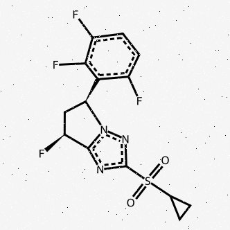 O=S(=O)(c1nc2n(n1)[C@H](c1c(F)ccc(F)c1F)C[C@@H]2F)C1CC1